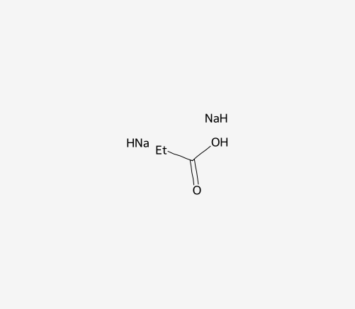 [CH2]CC(=O)O.[NaH].[NaH]